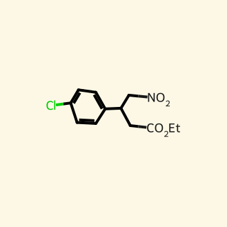 CCOC(=O)CC(C[N+](=O)[O-])c1ccc(Cl)cc1